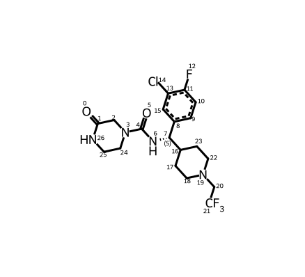 O=C1CN(C(=O)N[C@H](c2ccc(F)c(Cl)c2)C2CCN(CC(F)(F)F)CC2)CCN1